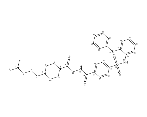 CN(C)CCCN1CCN(C(=O)CNC(=O)c2ccc(S(=O)(=O)Nc3ccccc3Sc3ccccc3)cc2)CC1